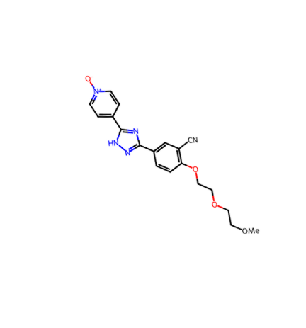 COCCOCCOc1ccc(-c2n[nH]c(-c3cc[n+]([O-])cc3)n2)cc1C#N